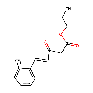 N#CCCOC(=O)CC(=O)C=Cc1ccccc1C(F)(F)F